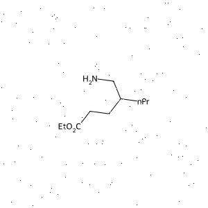 CCCC(CN)CCC(=O)OCC